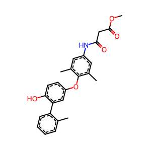 COC(=O)CC(=O)Nc1cc(C)c(Oc2ccc(O)c(-c3ccccc3C)c2)c(C)c1